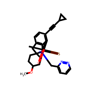 COC1CCC2(CC1)Cc1ccc(C#CC3CC3)cc1C21NC(=S)N(Cc2cccnn2)C1=O